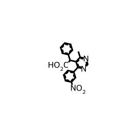 Cc1ncnc(-c2cccc([N+](=O)[O-])c2)c1C(C(=O)O)c1ccccc1